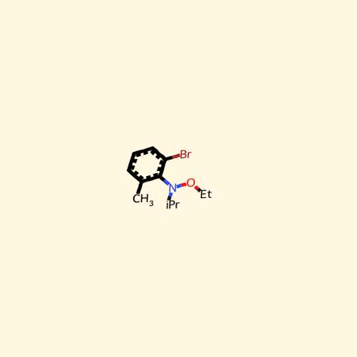 CCON(c1c(C)cccc1Br)C(C)C